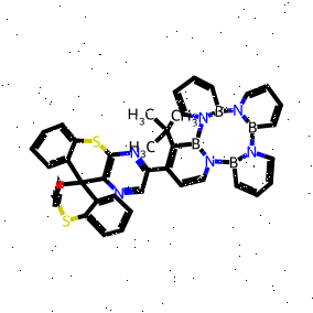 CC(C)(C)C1=C(c2cnc3c(n2)Sc2ccccc2C32c3ccccc3Sc3ccccc32)C=CN2B3C=CC=CN3B3C=CC=CN3B3C=CC=CN3B12